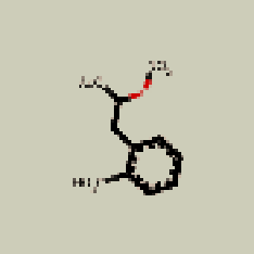 CC(=O)OC(Cc1ccccc1C(=O)O)O[N+](=O)[O-]